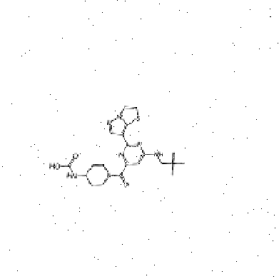 CC(C)(C)CNc1cc(C(=O)N2CCC(NC(=O)O)CC2)nc(-c2cnn3ccsc23)n1